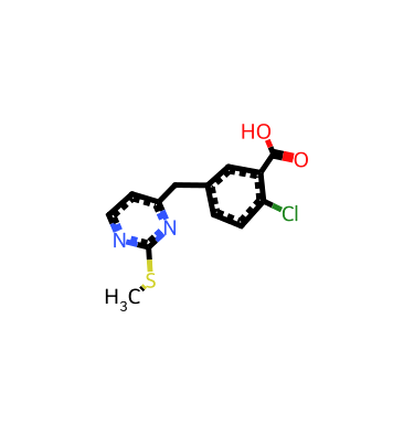 CSc1nccc(Cc2ccc(Cl)c(C(=O)O)c2)n1